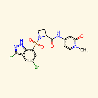 Cn1ccc(NC(=O)C2CCN2S(=O)(=O)c2cc(Br)cc3c(F)n[nH]c23)cc1=O